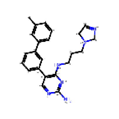 Cc1cccc(-c2cccc(-c3cnc(N)nc3NCCCN3CC=NC3)c2)c1